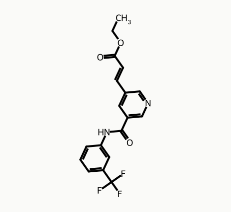 CCOC(=O)/C=C/c1cncc(C(=O)Nc2cccc(C(F)(F)F)c2)c1